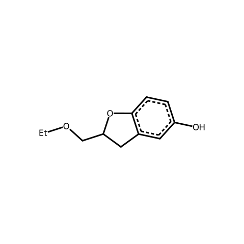 CCOCC1Cc2cc(O)ccc2O1